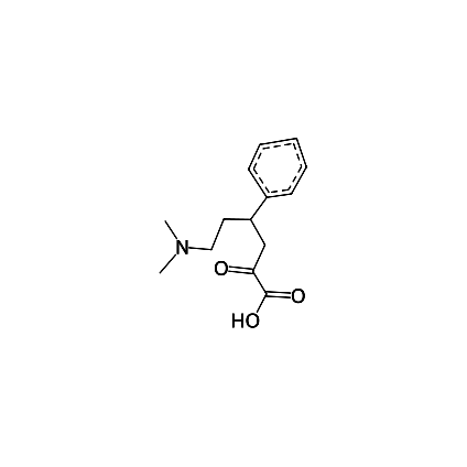 CN(C)CCC(CC(=O)C(=O)O)c1ccccc1